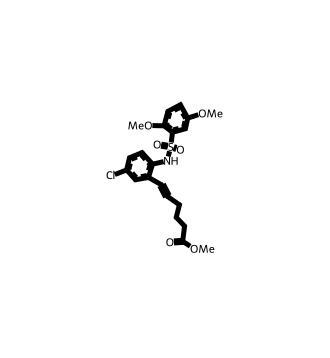 COC(=O)CCCC#Cc1cc(Cl)ccc1NS(=O)(=O)c1cc(OC)ccc1OC